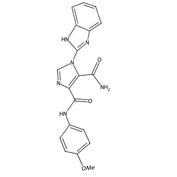 COc1ccc(NC(=O)c2ncn(-c3nc4ccccc4[nH]3)c2C(N)=O)cc1